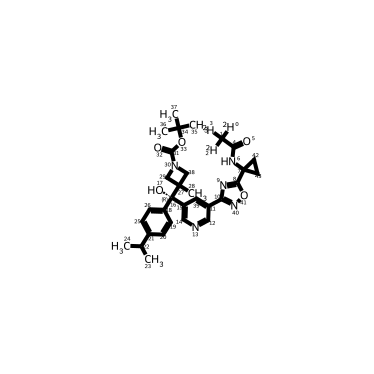 [2H]C([2H])([2H])C(=O)NC1(c2nc(-c3cncc([C@@](O)(c4ccc(C(C)C)cc4)C4(C)CN(C(=O)OC(C)(C)C)C4)c3)no2)CC1